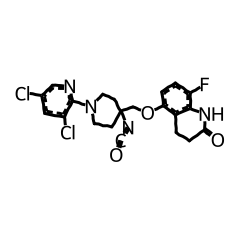 O=C=NC1(COc2ccc(F)c3c2CCC(=O)N3)CCN(c2ncc(Cl)cc2Cl)CC1